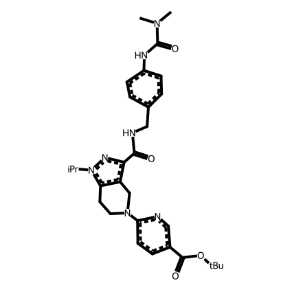 CC(C)n1nc(C(=O)NCc2ccc(NC(=O)N(C)C)cc2)c2c1CCN(c1ccc(C(=O)OC(C)(C)C)cn1)C2